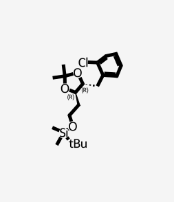 CC1(C)O[C@H](CCO[Si](C)(C)C(C)(C)C)[C@@H](Cc2ccccc2Cl)O1